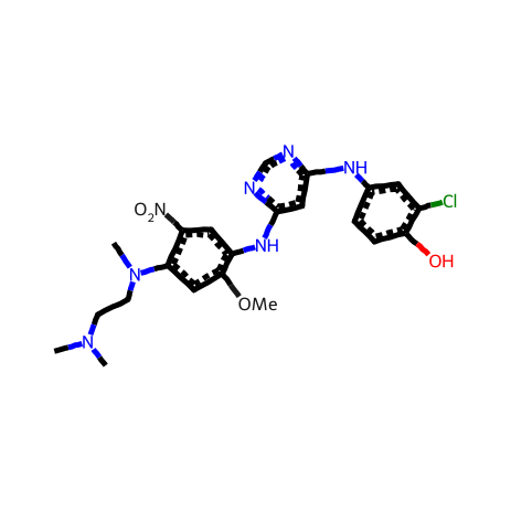 COc1cc(N(C)CCN(C)C)c([N+](=O)[O-])cc1Nc1cc(Nc2ccc(O)c(Cl)c2)ncn1